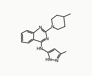 Cc1cc(Nc2nc(N3CCC(C)CC3)nc3ccccc23)[nH]n1